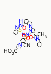 Cc1c(-c2ccc(N3CCc4cccc(C(=O)Nc5nc6ccccc6s5)c4C3)nc2C(=O)NS(=O)(=O)c2ccc(N3CCC(C(=O)O)CC3)c(C#N)c2)cnn1CC1CCCCC1